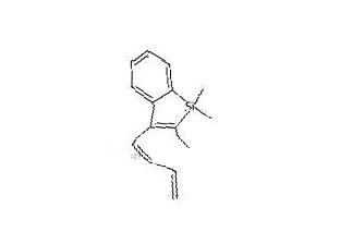 C=C/C=C\C1=C(C)[Si](C)(C)c2ccccc21